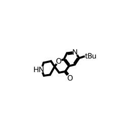 CC(C)(C)c1cc2c(cn1)OC1(CCNCC1)CC2=O